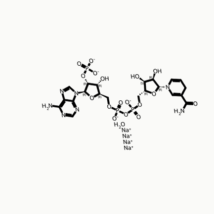 NC(=O)C1=CN([C@@H]2O[C@H](COP(=O)([O-])OP(=O)([O-])OC[C@H]3O[C@@H](n4cnc5c(N)ncnc54)[C@H](OP(=O)([O-])[O-])[C@@H]3O)[C@@H](O)[C@H]2O)C=CC1.O.[Na+].[Na+].[Na+].[Na+]